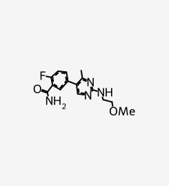 COCCNc1ncc(-c2ccc(F)c(C(N)=O)c2)c(C)n1